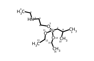 CCNCCO[Si](CC(C)C)(OCC)OCC